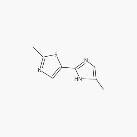 Cc1cnc(-c2cnc(C)s2)[nH]1